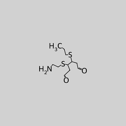 CCCSC(CC=O)C(CC=O)SCCN